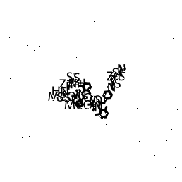 CN(C)C(=S)[S][Zn][S]C(=S)N(C)C.COC(=O)C(C)N(C(=O)Cc1ccccc1)c1c(C)cccc1C.COC(=O)C(C)N(C(=O)c1ccco1)c1c(C)cccc1C.S=C([S-])NCCNC(=S)[S-].[Zn+2]